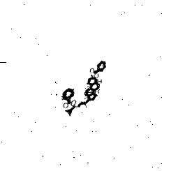 C[C@H](CC[C@@H](OC(=O)c1ccccc1)C1CC1)C1CC[C@H]2[C@@H]3CC[C@H]4C[C@@](C)(OC(=O)c5ccccc5)CC[C@]4(C)C3CC[C@]12C